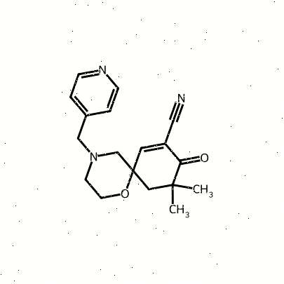 CC1(C)CC2(C=C(C#N)C1=O)CN(Cc1ccncc1)CCO2